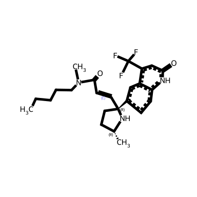 CCCCCN(C)C(=O)/C=C/[C@@]1(c2ccc3[nH]c(=O)cc(C(F)(F)F)c3c2)CC[C@@H](C)N1